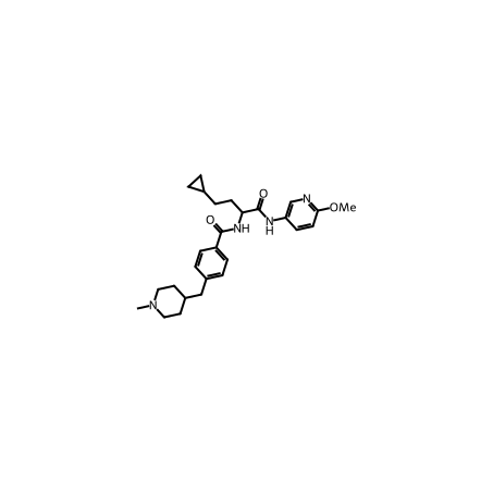 COc1ccc(NC(=O)C(CCC2CC2)NC(=O)c2ccc(CC3CCN(C)CC3)cc2)cn1